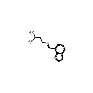 CC(C)CC/N=C/c1cccc2cc[nH]c12